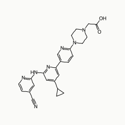 N#Cc1ccnc(Nc2cc(C3CC3)cc(-c3ccc(N4CCN(CC(=O)O)CC4)nc3)n2)c1